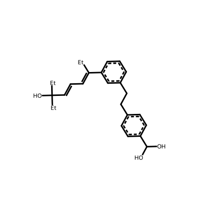 CCC(=CC=CC(O)(CC)CC)c1cccc(CCc2ccc(C(O)O)cc2)c1